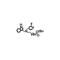 CC(C)(C)OC(=O)NCCCCN(Cc1ccnc(F)c1)Cc1c[nH]c2ccccc12